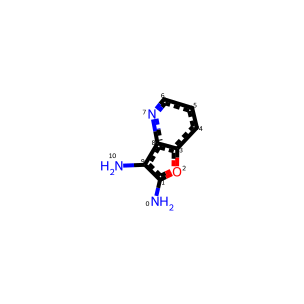 Nc1oc2cccnc2c1N